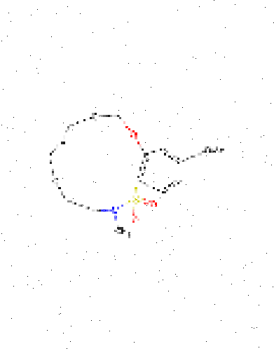 COc1ccc2c(c1)OCCCCCCCCN(C)S2(=O)=O